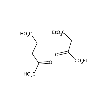 CCOC(=O)CC(=O)C(=O)OCC.O=C(O)CCC(=O)C(=O)O